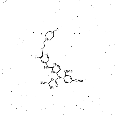 CCC(C)C(OC(=O)N(c1ccnc(Nc2ccc(OCCN3CCN(C(C)C)CC3)c(F)c2)n1)c1ccc(OC)cc1OC)C(C)C